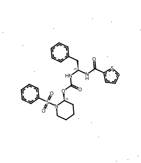 O=C(N[C@@H](Cc1ccccc1)NC(=O)c1cccs1)O[C@H]1CCCCN1S(=O)(=O)c1ccccc1